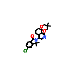 CC1(C)COC2(CCCc3c(N4C(=O)c5ccc(Cl)cc5C4(C)C)cncc32)OC1